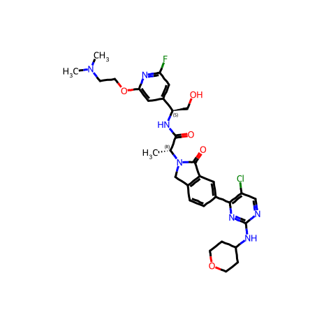 C[C@H](C(=O)N[C@H](CO)c1cc(F)nc(OCCN(C)C)c1)N1Cc2ccc(-c3nc(NC4CCOCC4)ncc3Cl)cc2C1=O